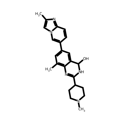 Cc1cn2cc(-c3cc(C)c4c(c3)C(O)NC(C3CCN(C)CC3)=N4)ccc2n1